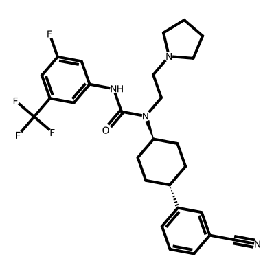 N#Cc1cccc([C@H]2CC[C@H](N(CCN3CCCC3)C(=O)Nc3cc(F)cc(C(F)(F)F)c3)CC2)c1